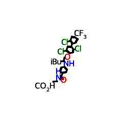 CCC(C)C(COc1cc(Cl)c(-c2ccc(C(F)(F)F)cc2Cl)cc1Cl)Nc1ccc(C(=O)NCCC(=O)O)cc1